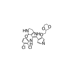 O=C1NCCc2[nH]c(-c3ccncc3OCC3COCCO3)c(Nc3cccc(Cl)c3Cl)c21